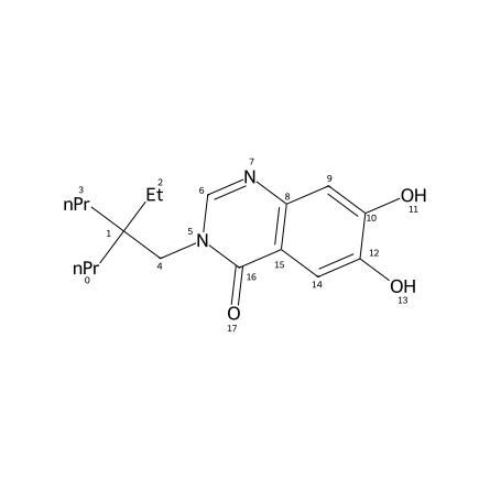 CCCC(CC)(CCC)Cn1cnc2cc(O)c(O)cc2c1=O